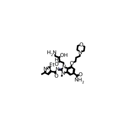 CCn1nc(C)cc1C(=O)/N=c1\n(C)c2cc(C(N)=O)cc(OCCCN3CCOCC3)c2n1CC(O)C(O)CN